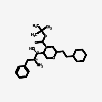 CC(C)(C)OC(=O)N1CC(CCC2CCCCC2)OCC1[C@@H](O)[C@@H](N)Cc1ccccc1